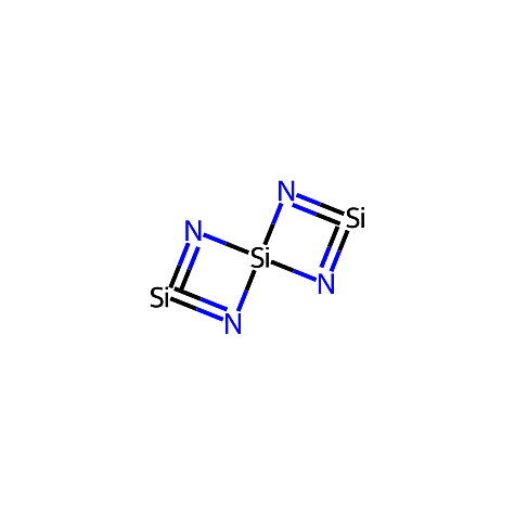 N1=[Si]=N[Si]12N=[Si]=N2